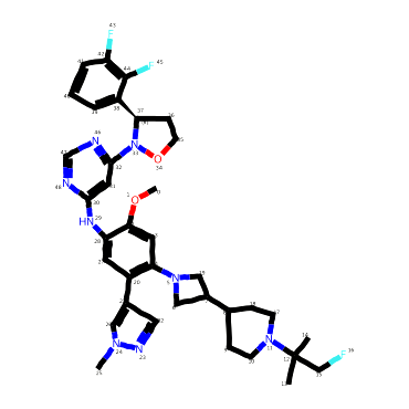 COc1cc(N2CC(C3CCN(C(C)(C)CF)CC3)C2)c(-c2cnn(C)c2)cc1Nc1cc(N2OCC[C@@H]2c2cccc(F)c2F)ncn1